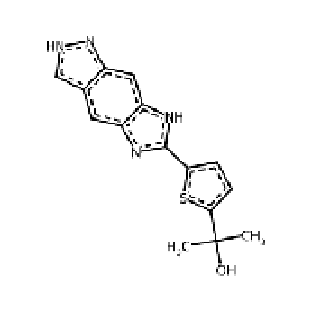 CC(C)(O)c1ccc(-c2nc3cc4c[nH]nc4cc3[nH]2)s1